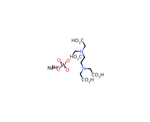 O=C(O)CN(CCN(CC(=O)O)CC(=O)O)CC(=O)O.[Na+].[Na+].[O]=[W](=[O])([O-])[O-]